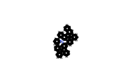 c1ccc(N(c2ccc3c(c2)C(c2ccccc2)(c2ccccc2)c2ccccc2-3)c2cc3c(c4ccccc24)-c2c(ccc4ccccc24)C3(c2ccccc2)c2ccccc2)cc1